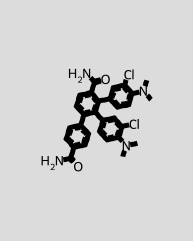 CN(C)c1ccc(-c2c(C(N)=O)ccc(-c3ccc(C(N)=O)cc3)c2-c2ccc(N(C)C)c(Cl)c2)cc1Cl